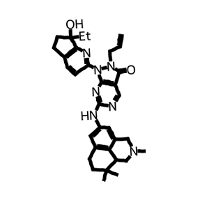 C=CCn1c(=O)c2cnc(Nc3cc4c5c(c3)CN(C)CC5C(C)(C)CC4)nc2n1-c1ccc2c(n1)C(O)(CC)CC2